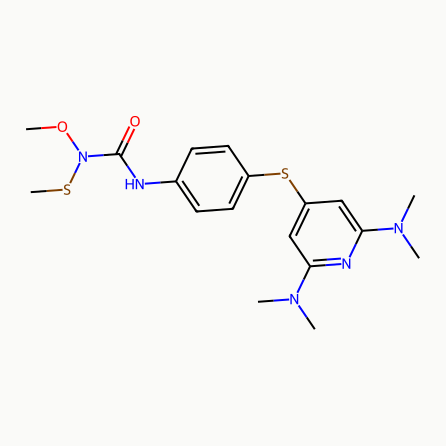 CON(SC)C(=O)Nc1ccc(Sc2cc(N(C)C)nc(N(C)C)c2)cc1